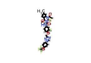 COCc1ccc(C)cc1N1C(=O)CS/C1=N\C(=O)Nc1ccc(OCc2ncn(-c3ccc(OC(F)(F)F)cc3)n2)c(F)c1